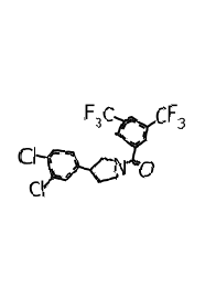 O=C(c1cc(C(F)(F)F)cc(C(F)(F)F)c1)N1CCC(c2ccc(Cl)c(Cl)c2)C1